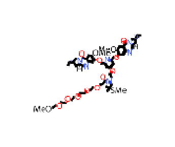 C/C=C1\C[C@H]2C=Nc3cc(OCc4cc(OCCN(CC(C)(C)SC)C(=O)CCOCCOCCOCCOCCOCCOC)cc(COc5cc6c(cc5OC)C(=O)N5C/C(=C/C)C[C@H]5C=N6)n4)c(OC)cc3C(=O)N2C1